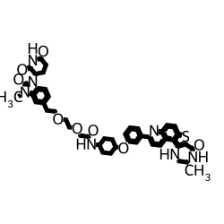 C[C@@H]1CNc2c(sc3ccc4nc(-c5cccc(OC6CCC(NC(=O)COCCOCCc7ccc8c(c7)n(C)c(=O)n8C7CCC(=O)NC7=O)CC6)c5)ccc4c23)C(=O)N1